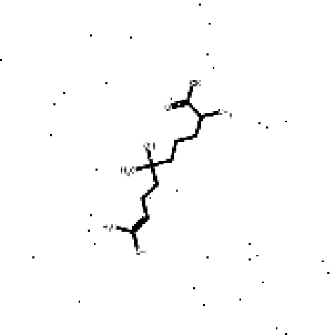 C/C(O)=C\CCC(C)(O)CCCC(C)C(=O)O